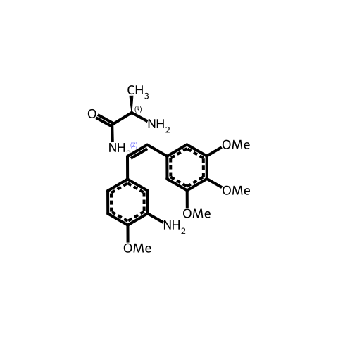 COc1ccc(/C=C\c2cc(OC)c(OC)c(OC)c2)cc1N.C[C@@H](N)C(N)=O